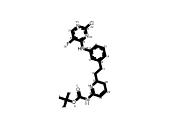 CC(C)(C)OC(=O)NC1=NC(CCc2cccc(Nc3nc(Cl)ncc3F)c2)CC=C1